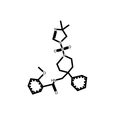 COc1ccccc1C(=O)NCC1(c2ccccc2)CCN(S(=O)(=O)N2C=NC(C)(C)C2)CC1